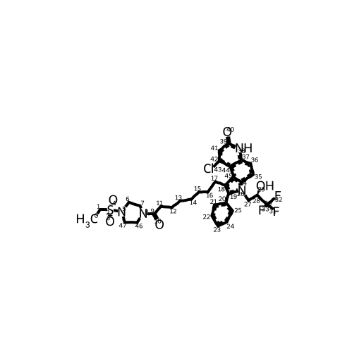 CCS(=O)(=O)N1CCN(C(=O)CCCCCCCc2c(-c3ccccc3)n(C[C@@H](O)C(F)(F)F)c3ccc4[nH]c(=O)cc(Cl)c4c23)CC1